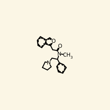 CN(C(=O)Cc1occ2ccccc12)C(CN1CCCC1)c1ccccc1